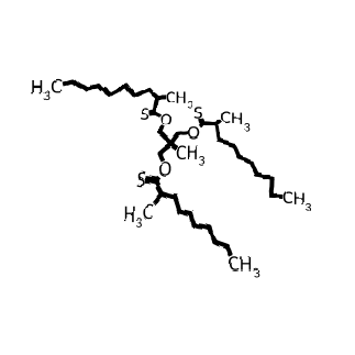 CCCCCCCCC(C)C(=S)OCC(C)(COC(=S)C(C)CCCCCCCC)COC(=S)C(C)CCCCCCCC